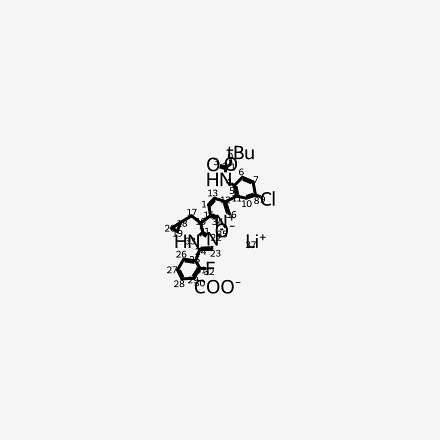 CC(C)(C)OC(=O)Nc1ccc(Cl)cc1-c1ccc(C(CC2CC2)c2ncc(-c3cccc(C(=O)[O-])c3F)[nH]2)[n+]([O-])c1.[Li+]